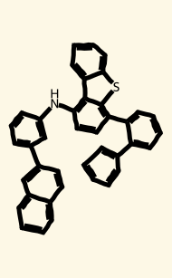 c1ccc(-c2ccccc2-c2ccc(Nc3cccc(-c4ccc5ccccc5c4)c3)c3c2sc2ccccc23)cc1